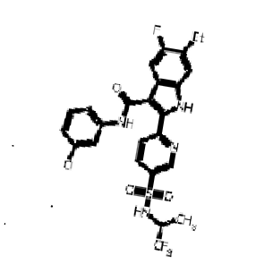 CCc1cc2[nH]c(-c3ccc(S(=O)(=O)N[C@@H](C)C(F)(F)F)cn3)c(C(=O)Nc3cccc(Cl)c3)c2cc1F